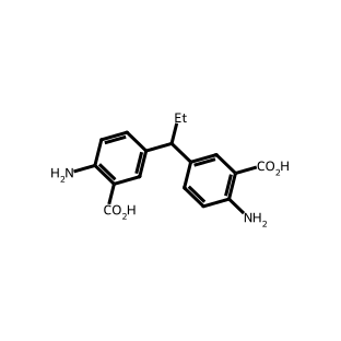 CCC(c1ccc(N)c(C(=O)O)c1)c1ccc(N)c(C(=O)O)c1